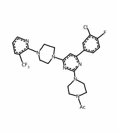 CC(=O)N1CCN(c2nc(-c3ccc(F)c(Cl)c3)cc(N3CCN(c4ncccc4C(F)(F)F)CC3)n2)CC1